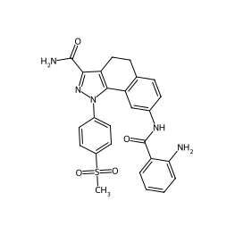 CS(=O)(=O)c1ccc(-n2nc(C(N)=O)c3c2-c2cc(NC(=O)c4ccccc4N)ccc2CC3)cc1